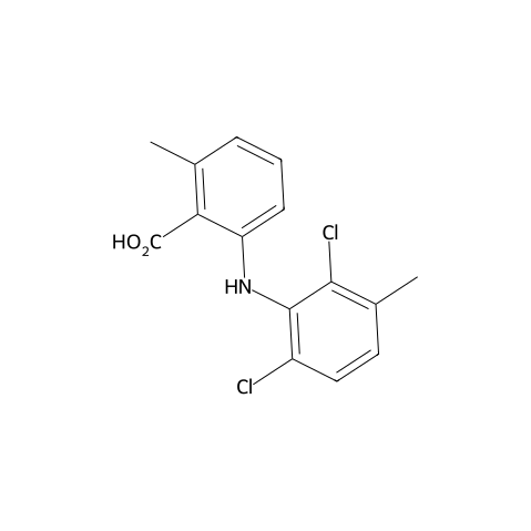 Cc1ccc(Cl)c(Nc2cccc(C)c2C(=O)O)c1Cl